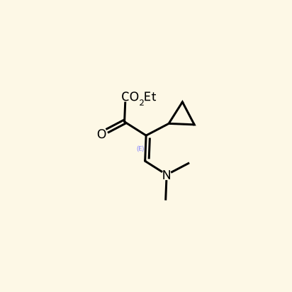 CCOC(=O)C(=O)/C(=C/N(C)C)C1CC1